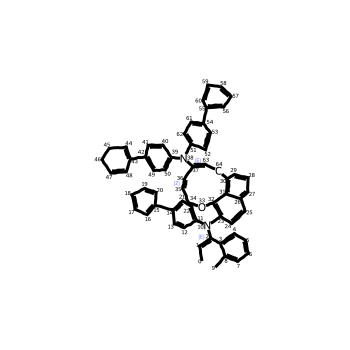 C/C=C(\c1ccccc1C)N(c1ccc(-c2ccccc2)cc1)c1ccc2cccc3c2c1OC/C=C\C(N(c1ccc(C2=CCCC=C2)cc1)c1ccc(-c2ccccc2)cc1)=C/C3